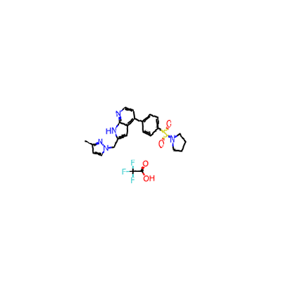 Cc1ccn(Cc2cc3c(-c4ccc(S(=O)(=O)N5CCCC5)cc4)ccnc3[nH]2)n1.O=C(O)C(F)(F)F